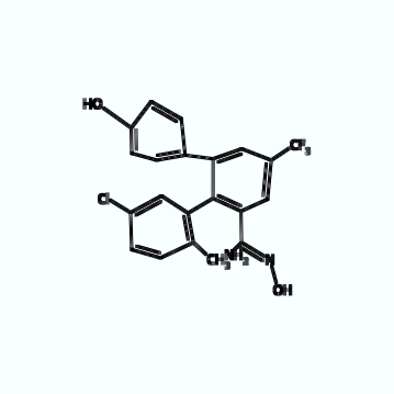 Cc1ccc(Cl)cc1-c1c(/C(N)=N/O)cc(C(F)(F)F)cc1-c1ccc(O)cc1